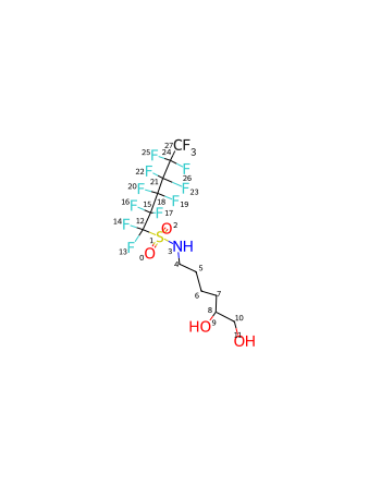 O=S(=O)(NCCCCC(O)CO)C(F)(F)C(F)(F)C(F)(F)C(F)(F)C(F)(F)C(F)(F)F